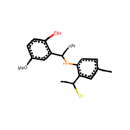 CCCC(Pc1ccc(C)cc1C(C)S)c1cc(OC)ccc1O